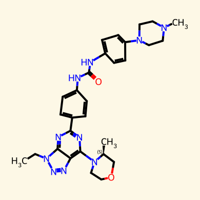 CCn1nnc2c(N3CCOC[C@@H]3C)nc(-c3ccc(NC(=O)Nc4ccc(N5CCN(C)CC5)cc4)cc3)nc21